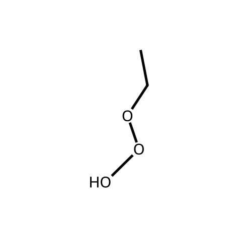 CCOOO